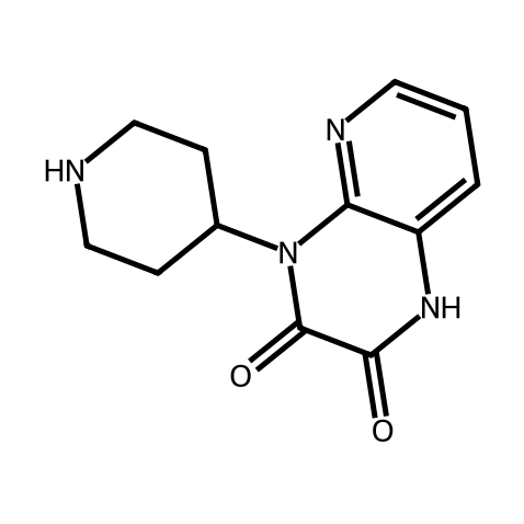 O=c1[nH]c2cccnc2n(C2CCNCC2)c1=O